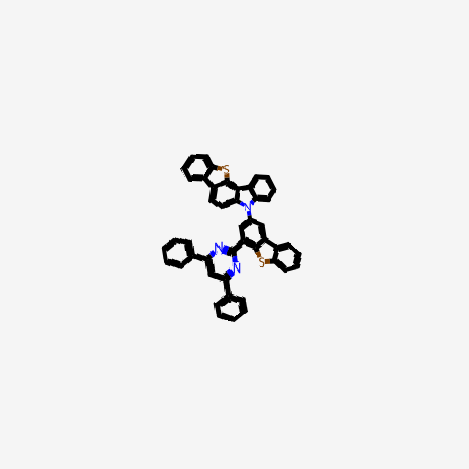 c1ccc(-c2cc(-c3ccccc3)nc(-c3cc(-n4c5ccccc5c5c6sc7ccccc7c6ccc54)cc4c3sc3ccccc34)n2)cc1